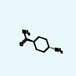 NC(=O)[C@H]1CC[C@H](N)CC1